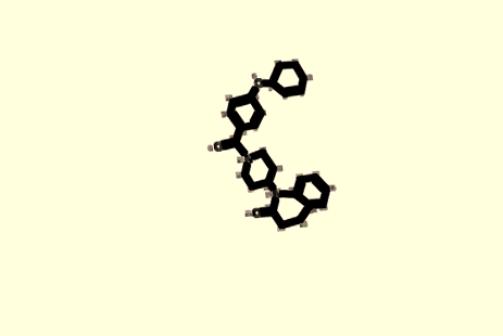 O=C(c1ccc(OC2C=CCCC2)cc1)N1CCC(N2C(=O)CCc3ccccc32)CC1